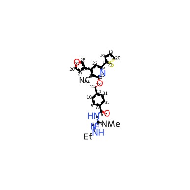 CCN/N=C(\NC)NC(=O)c1ccc(COc2nc(-c3cccs3)cc(-c3ccoc3)c2C#N)cc1